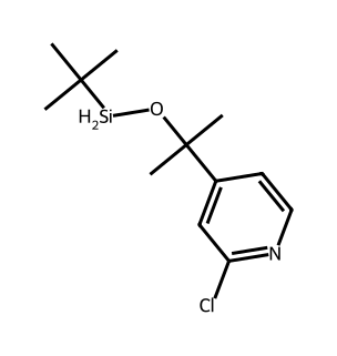 CC(C)(C)[SiH2]OC(C)(C)c1ccnc(Cl)c1